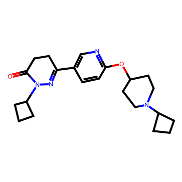 O=C1CCC(c2ccc(OC3CCN(C4CCC4)CC3)nc2)=NN1C1CCC1